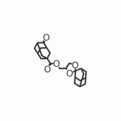 O=C1C2CC3CC1CC(C(=O)OCC1COC4(O1)C1CC5CC(C1)CC4C5)(C3)C2